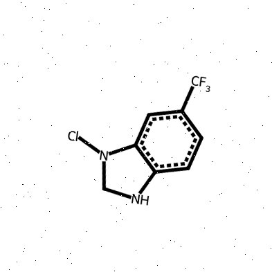 FC(F)(F)c1ccc2c(c1)N(Cl)CN2